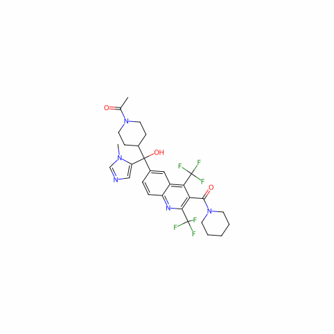 CC(=O)N1CCC(C(O)(c2ccc3nc(C(F)(F)F)c(C(=O)N4CCCCC4)c(C(F)(F)F)c3c2)c2cncn2C)CC1